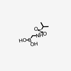 CC(C)S(=O)(=O)NCB(O)O